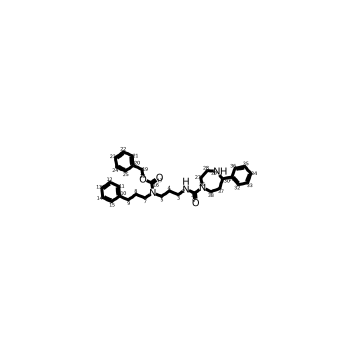 O=C(NCCCN(CCCc1ccccc1)C(=O)OCc1ccccc1)N1CCNC(c2ccccc2)CC1